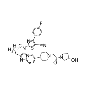 CCc1nc2ccc(C3CCN(CC(=O)N4CC[C@H](O)C4)CC3)cn2c1N(C)c1nc(-c2ccc(F)cc2)c(C#N)s1